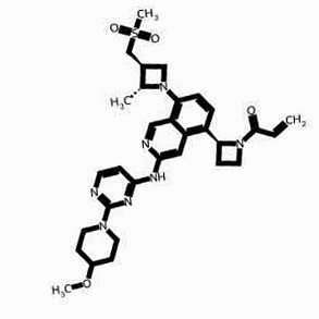 C=CC(=O)N1CC[C@H]1c1ccc(N2C[C@H](CS(C)(=O)=O)[C@H]2C)c2cnc(Nc3ccnc(N4CCC(OC)CC4)n3)cc12